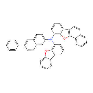 c1ccc(-c2ccc3cc(N(c4cccc5c4oc4ccccc45)c4cccc5c4oc4c6ccccc6ccc54)ccc3c2)cc1